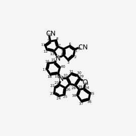 N#Cc1ccc2c(c1)c1cc(C#N)ccc1n2-c1cccc(-n2c3ccccc3c3c4c(ccc32)oc2ccccc24)c1